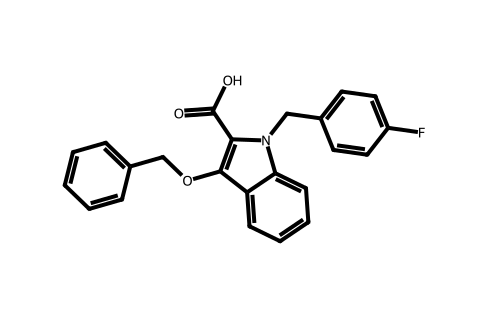 O=C(O)c1c(OCc2ccccc2)c2ccccc2n1Cc1ccc(F)cc1